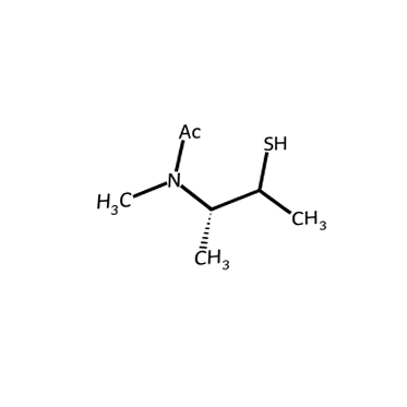 CC(=O)N(C)[C@@H](C)C(C)S